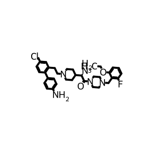 CCOc1cccc(F)c1CN1CCN(C(=O)[C@H](N)C2CCN(CCc3cc(Cl)ccc3-c3ccc(N)cc3)CC2)CC1